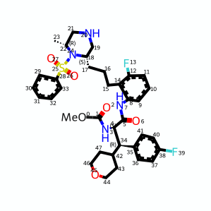 COC(=O)N[C@H](C(=O)Nc1cccc(F)c1CCC[C@H]1CNC[C@@H](C)N1S(=O)(=O)c1ccccc1)[C@@H](c1ccc(F)cc1)C1CCOCC1